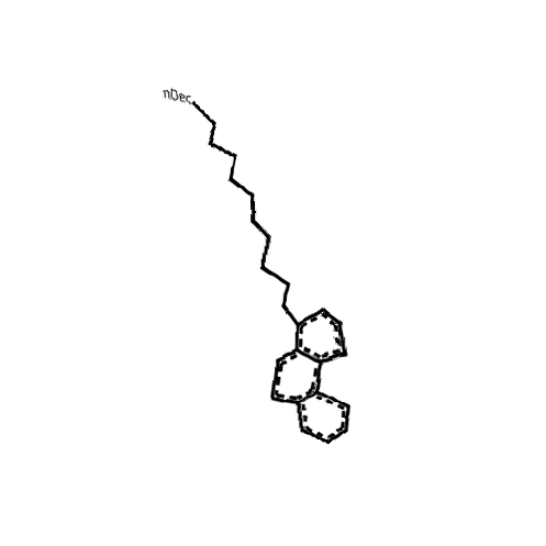 [CH2]CCCCCCCCCCCCCCCCCCCc1cccc2c1ccc1ccccc12